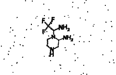 NC1CNCCN1C(N)C(F)(F)F